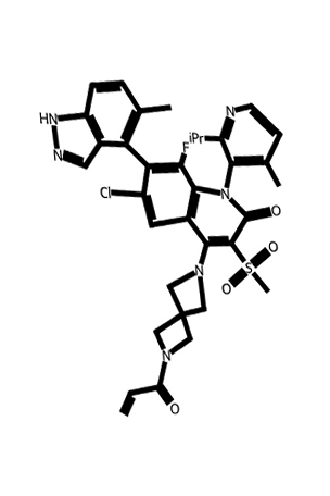 C=CC(=O)N1CC2(C1)CN(c1c(S(C)(=O)=O)c(=O)n(-c3c(C)ccnc3C(C)C)c3c(F)c(-c4c(C)ccc5[nH]ncc45)c(Cl)cc13)C2